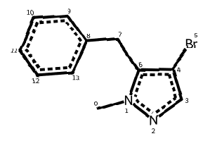 Cn1ncc(Br)c1Cc1ccccc1